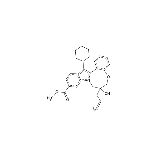 C=CCC1(O)COc2ccccc2-c2c(C3CCCCC3)c3ccc(C(=O)OC)cc3n2C1